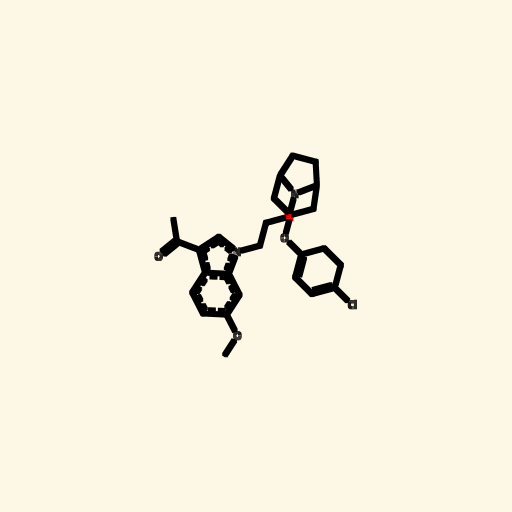 COc1ccc2c(C(C)=O)cn(CCCN3C4CCC3CC(OC3=CC=C(Cl)CC3)C4)c2c1